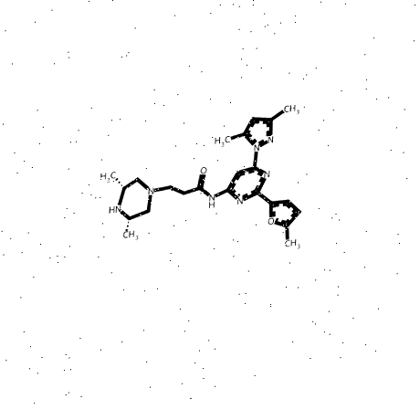 Cc1cc(C)n(-c2cc(NC(=O)CCN3C[C@@H](C)N[C@@H](C)C3)nc(-c3ccc(C)o3)n2)n1